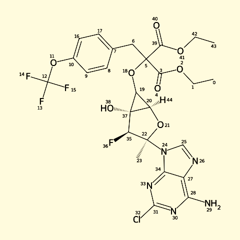 CCOC(=O)C(Cc1ccc(OC(F)(F)F)cc1)(OC1[C@H]2O[C@@](C)(n3cnc4c(N)nc(Cl)nc43)[C@@H](F)[C@@]12O)C(=O)OCC